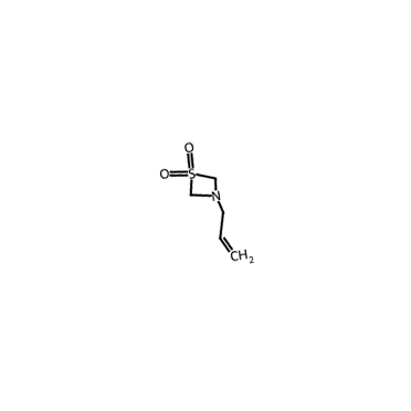 C=CCN1CS(=O)(=O)C1